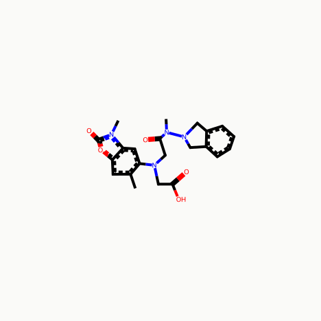 Cc1cc2oc(=O)n(C)c2cc1N(CC(=O)O)CC(=O)N(C)N1Cc2ccccc2C1